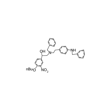 CCCCOc1ccc(C(O)CN(CCc2ccc(NCc3ccccc3)cc2)Cc2ccccc2)cc1[N+](=O)[O-]